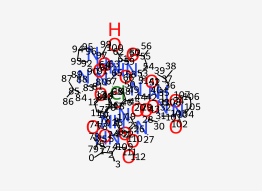 CC[C@H](C)[C@H](NC(=O)[C@H](Cc1cccc(Cl)c1)N(C)C(=O)[C@H](CC(C)C)N(C)C(=O)C[C@H](NC(=O)[C@H](CC(C)C)N(C)C(=O)[C@H](CC(C)C)N(C)C(=O)[C@H](CC(C)C)NC(=O)[C@H](C)N(C)C(=O)[C@H](CCCCNC(=O)OC(C)(C)C)NC(=O)[C@H](CC(C)C)N(C)C(=O)[C@@H]1CCCN1C(=O)CO)C(=O)N1CCCCC1)C(=O)OC